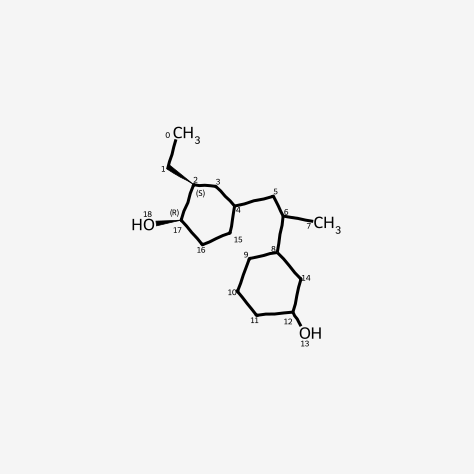 CC[C@H]1CC(CC(C)C2CCCC(O)C2)CC[C@H]1O